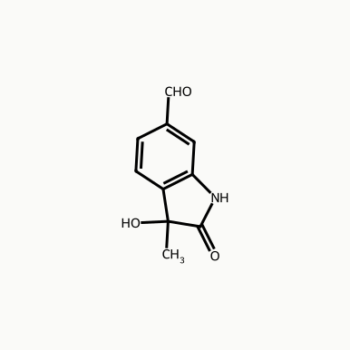 CC1(O)C(=O)Nc2cc(C=O)ccc21